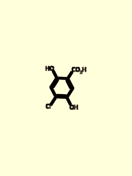 O=C(O)c1cc(O)c(Cl)cc1O